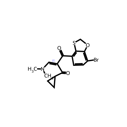 CN(C)/C=C(/C(=O)c1ccc(Br)c2c1SCO2)C(=O)C1CC1